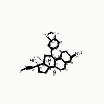 CC#C[C@]1(O)CC[C@H]2[C@@H]3CCC4=CC(=N)CCC4=C3C(c3ccc4c(c3)OCO4)C[C@@]21C